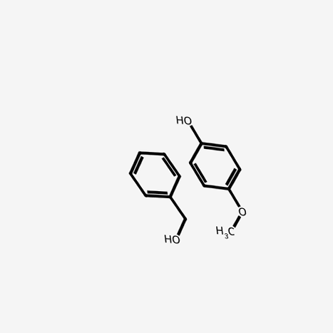 COc1ccc(O)cc1.OCc1ccccc1